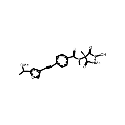 CNC(=O)[C@@](C)(C(=O)NO)N(C)C(=O)c1ccc(C#Cc2coc(C(C)OC)c2)cc1